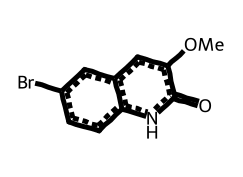 COc1cc2cc(Br)ccc2[nH]c1=O